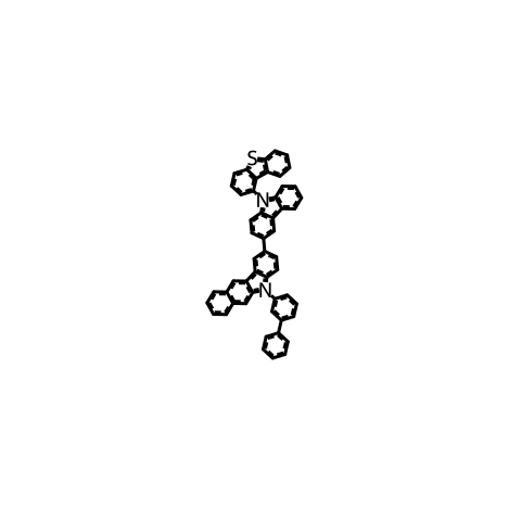 c1ccc(-c2cccc(-n3c4ccc(-c5ccc6c(c5)c5ccccc5n6-c5cccc6sc7ccccc7c56)cc4c4cc5ccccc5cc43)c2)cc1